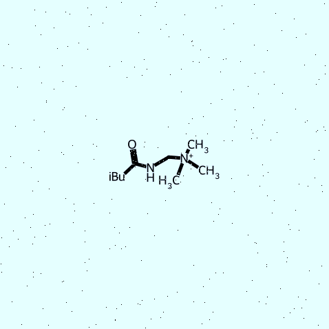 CCC(C)C(=O)NC[N+](C)(C)C